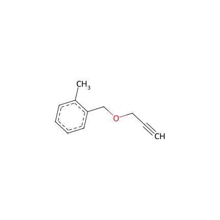 C#CCOCc1ccccc1C